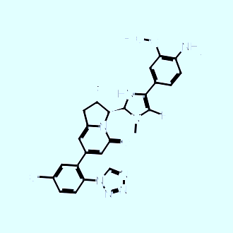 C[C@H]1Cc2cc(-c3cc(Cl)ccc3-n3cnnn3)cc(=O)n2[C@@H]1C1NC(c2ccc(N)c(OC(F)(F)F)c2)=C(F)N1C